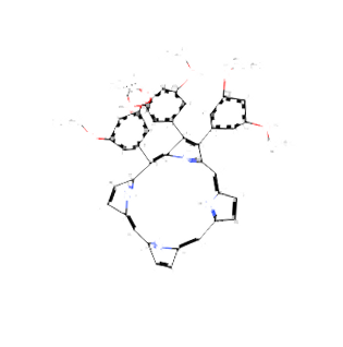 CCCCCCCCCCOc1cc(OCCCCCCCCCC)cc(C2=C3N=C(C=C4C=CC(=N4)C=C4C=CC(=N4)C=C4C=CC2=N4)C(c2cc(OCCCCCCCCCC)cc(OCCCCCCCCCC)c2)=C3c2cc(OCCCCCCCCCC)cc(OCCCCCCCCCC)c2)c1